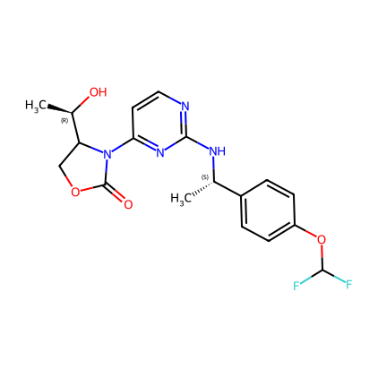 C[C@H](Nc1nccc(N2C(=O)OCC2[C@@H](C)O)n1)c1ccc(OC(F)F)cc1